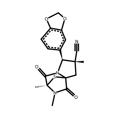 CN1C(=O)C23C[C@@](C)(C#N)[C@H](c4ccc5c(c4)OCO5)N2C(=O)[C@@]1(C)S3